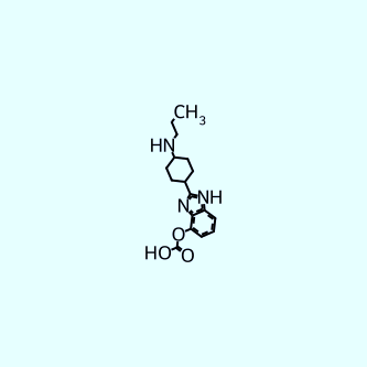 CCCNC1CCC(c2nc3c(OC(=O)O)cccc3[nH]2)CC1